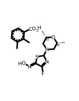 C[C@@H]1CN(C2N=C(F)C(=NO)S2)C[C@H](C)O1.Cc1cccc(C(=O)O)c1C